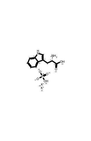 N[C@@H](Cc1c[nH]c2ccccc12)C(=O)O.O=P([O-])([O-])O.[K+].[K+]